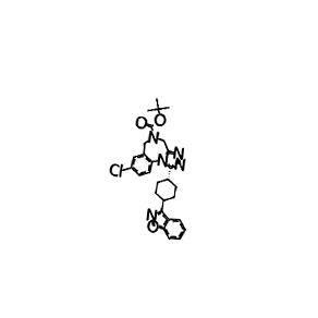 CC(C)(C)OC(=O)N1Cc2cc(Cl)ccc2-n2c(nnc2[C@H]2CC[C@H](c3noc4ccccc43)CC2)C1